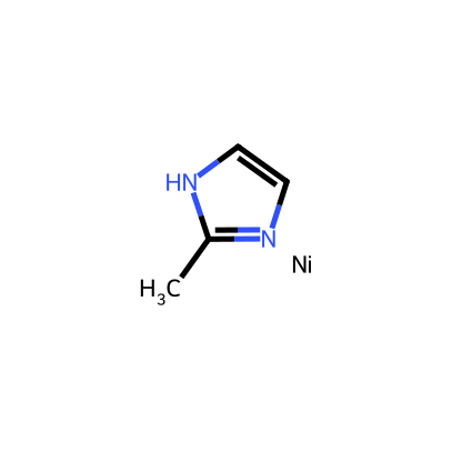 Cc1ncc[nH]1.[Ni]